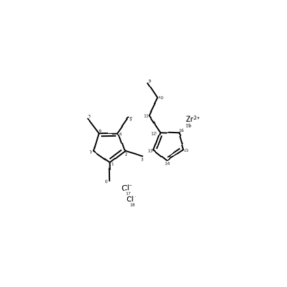 CC1=C(C)C(C)=C(C)C1.CCCC1=CC=CC1.[Cl-].[Cl-].[Zr+2]